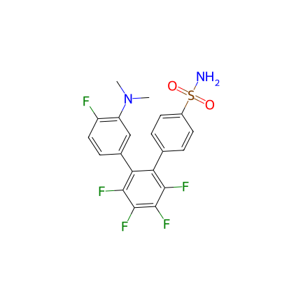 CN(C)c1cc(-c2c(F)c(F)c(F)c(F)c2-c2ccc(S(N)(=O)=O)cc2)ccc1F